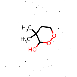 CC1(C)CCOO[C]1O